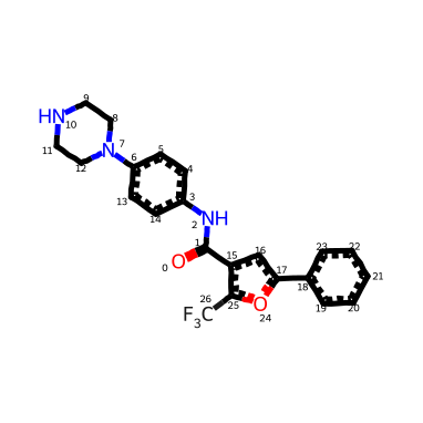 O=C(Nc1ccc(N2CCNCC2)cc1)c1cc(-c2ccccc2)oc1C(F)(F)F